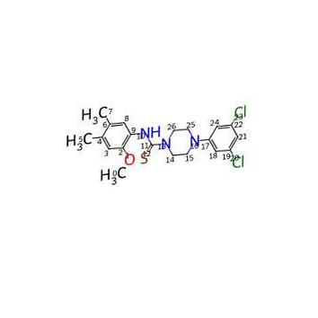 COc1cc(C)c(C)cc1NC(=S)N1CCN(c2cc(Cl)cc(Cl)c2)CC1